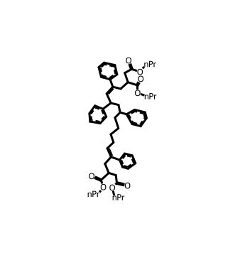 CCCOC(=O)CC(CC(=CCCCCC(CC(C=C(CC(CC(=O)OCCC)C(=O)OCCC)c1ccccc1)c1ccccc1)c1ccccc1)c1ccccc1)C(=O)OCCC